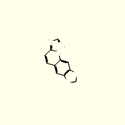 c1nc2ccc3cc4c(cc3n2n1)OCO4